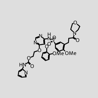 COc1ccc(S(=O)(=O)Nc2ncnc(OCCOC(=O)Nc3ccccn3)c2Oc2ccccc2OC)cc1CCC(=O)N1CCOCC1